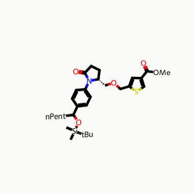 CCCCCC(O[Si](C)(C)C(C)(C)C)c1ccc(N2C(=O)CC[C@@H]2COCc2cc(C(=O)OC)cs2)cc1